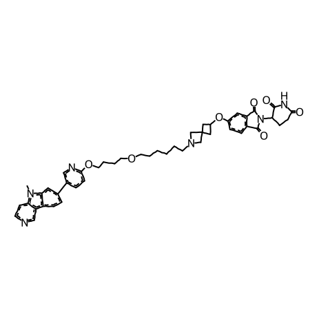 Cn1c2ccncc2c2ccc(-c3ccc(OCCCCOCCCCCCN4CC5(CC(Oc6ccc7c(c6)C(=O)N(C6CCC(=O)NC6=O)C7=O)C5)C4)nc3)cc21